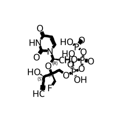 C#C[C@H](O)[C@@](CF)(COP(=O)(O)OP(=O)(O)OP(=O)(O)O)O[C@H](C)n1ccc(=O)[nH]c1=O